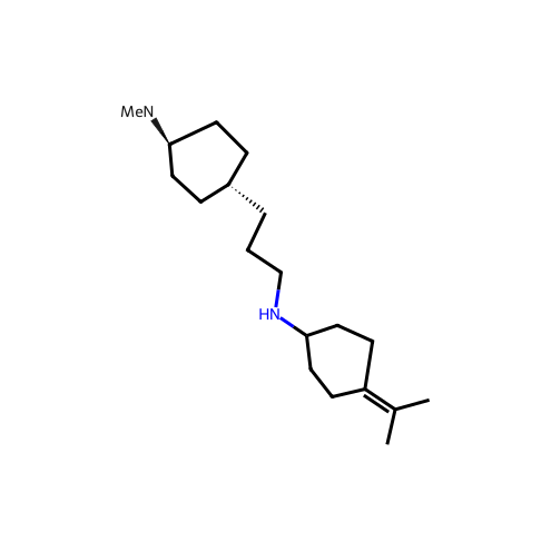 CN[C@H]1CC[C@H](CCCNC2CCC(=C(C)C)CC2)CC1